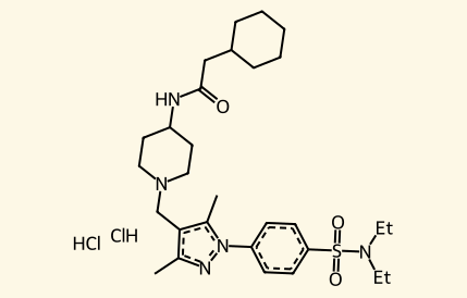 CCN(CC)S(=O)(=O)c1ccc(-n2nc(C)c(CN3CCC(NC(=O)CC4CCCCC4)CC3)c2C)cc1.Cl.Cl